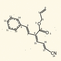 C=CCOC(=O)C(C=Cc1ccccc1)=CC=CC#N